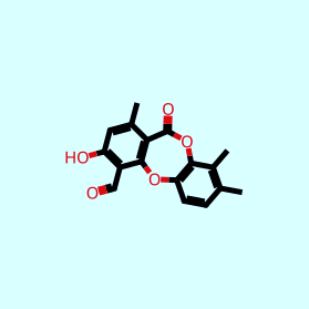 Cc1ccc2c(c1C)OC(=O)c1c(C)cc(O)c(C=O)c1O2